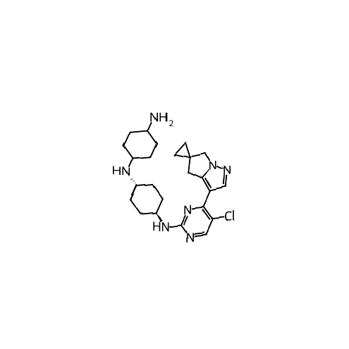 NC1CCC(N[C@H]2CC[C@H](Nc3ncc(Cl)c(-c4cnn5c4CC4(CC4)C5)n3)CC2)CC1